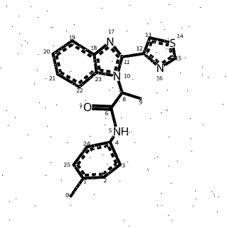 Cc1ccc(NC(=O)C(C)n2c(-c3cscn3)nc3ccccc32)cc1